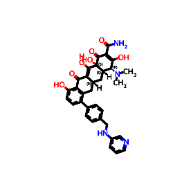 CN(C)[C@H]1C(O)=C(C(N)=O)C(=O)[C@@]2(O)C(O)=C3C(=O)c4c(O)ccc(-c5ccc(CNc6cccnc6)cc5)c4C[C@H]3C[C@@H]12